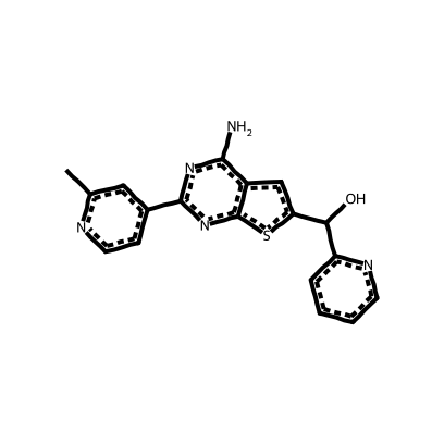 Cc1cc(-c2nc(N)c3cc(C(O)c4ccccn4)sc3n2)ccn1